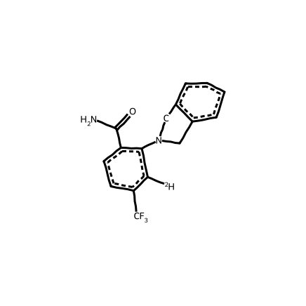 [2H]c1c(C(F)(F)F)ccc(C(N)=O)c1N1Cc2ccccc2C1